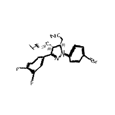 C[C@H]1C(c2ccc(F)c(F)c2)=NN(c2ccc(Br)cc2)[C@@H]1CC#N